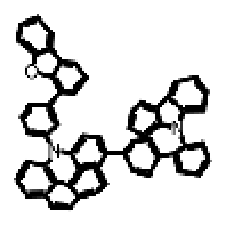 c1cc(-c2cccc3c2oc2ccccc23)cc(N(c2ccc(-c3ccc(-c4ccccc4-n4c5ccccc5c5ccccc54)cc3)cc2)c2cccc3ccc4ccccc4c23)c1